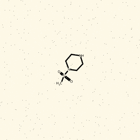 CS(=O)(=O)[N+]1CCNCC1